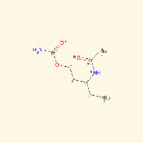 CC(C)(C)CC(CCOC(N)=O)NC(=O)C(C)(C)C